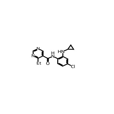 CCc1ncncc1C(=O)Nc1ccc(Cl)cc1NC1CC1